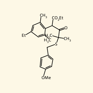 CCOC(=O)C(C(=O)C(C)(C)SCc1ccc(OC)cc1)c1c(C)cc(CC)cc1C